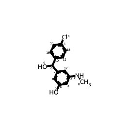 CNc1cc(O)cc(C(O)c2ccc(Cl)cc2)c1